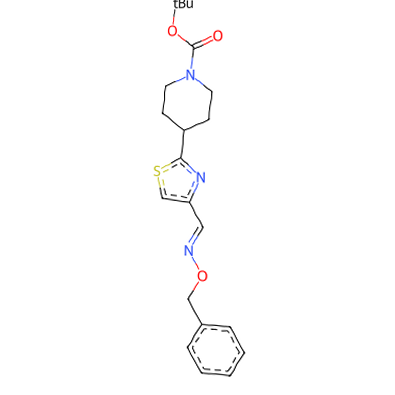 CC(C)(C)OC(=O)N1CCC(c2nc(C=NOCc3ccccc3)cs2)CC1